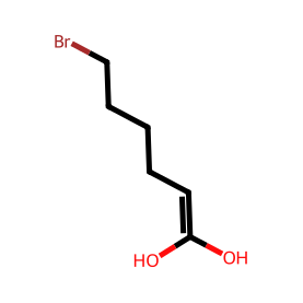 OC(O)=CCCCCBr